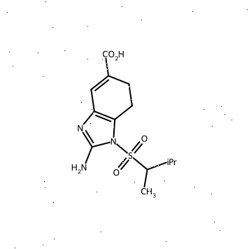 CC(C)C(C)S(=O)(=O)n1c(N)nc2c1CCC(C(=O)O)=C2